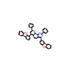 c1ccc(-c2cc(-c3cccc4c3oc3ccccc34)c3ccc4c(-c5ccc6oc7ccccc7c6c5)nc(-c5ccccc5)nc4c3n2)cc1